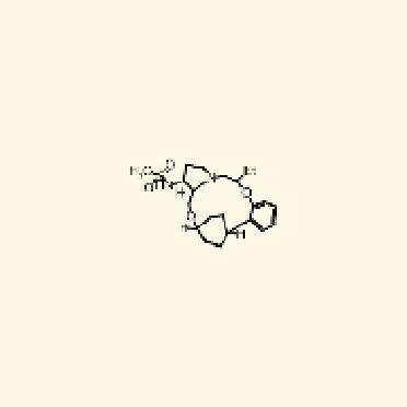 CCC1CN2CC[C@H](NS(C)(=O)=O)[C@@H]2CO[C@H]2CC[C@H](CC2)c2ccccc2O1